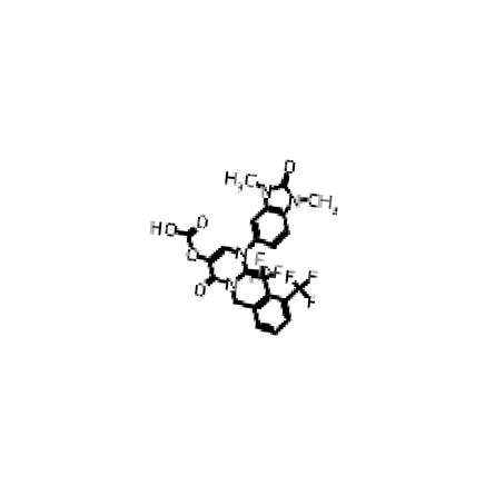 Cn1c(=O)n(C)c2cc(-n3cc(OC(=O)O)c(=O)n(Cc4cccc(C(F)(F)F)c4C(F)(F)F)c3=O)ccc21